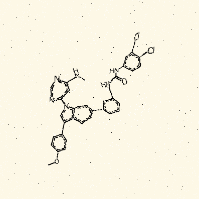 CNc1cc(-n2cc(-c3ccc(OC)cc3)c3ccc(-c4cccc(NC(=O)Nc5ccc(Cl)c(Cl)c5)c4)cc32)ncn1